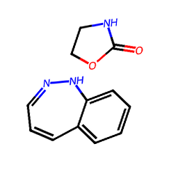 C1=Cc2ccccc2NN=C1.O=C1NCCO1